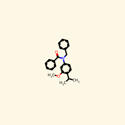 COc1cc(N(Cc2ccccc2)C(=O)c2ccccc2)ccc1C(C)C